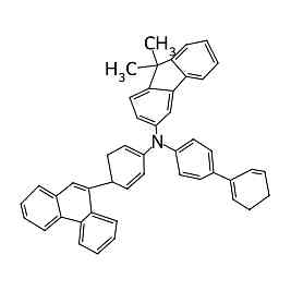 CC1(C)c2ccccc2-c2cc(N(C3=CCC(c4cc5ccccc5c5ccccc45)C=C3)c3ccc(C4=CCCC=C4)cc3)ccc21